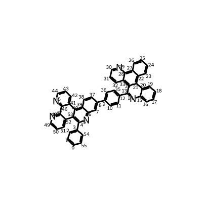 c1ccc(-c2nc3cc(-c4ccc(-c5nc6ccccc6c6c7ccccc7c7ncccc7c56)cc4)ccc3c3c4cccnc4c4ncccc4c23)cc1